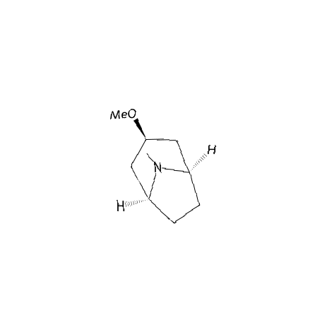 CO[C@H]1C[C@H]2CC[C@@H](C1)N2C